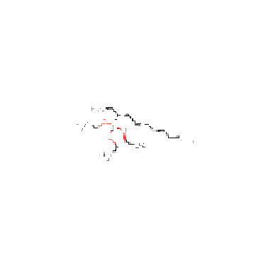 CCCCCCCC(CC)[Si](OCC)(OCC)OCC